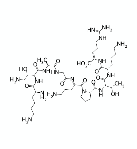 C[C@H](NC(=O)[C@@H](NC(=O)[C@@H](N)CCCCN)[C@@H](O)CN)C(=O)NCC(=O)/N=C(\CCCN)C(=O)N1CCC[C@H]1C(=O)N[C@H](C(=O)N[C@@H](CCCCN)C(=O)N/C(=C\CCNC(=N)N)C(=O)O)[C@H](C)O